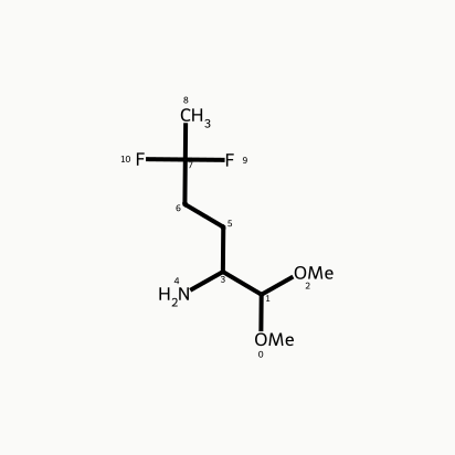 COC(OC)C(N)CCC(C)(F)F